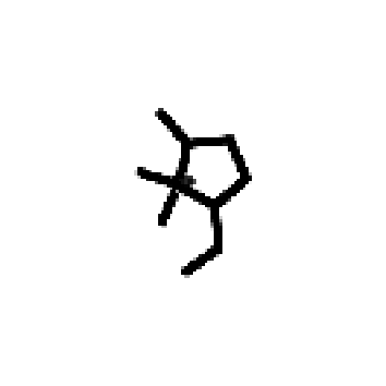 CCC1CCC(C)[N+]1(C)C